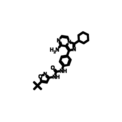 CC(C)(C)c1cc(NC(=O)Nc2ccc(-c3nc(C4CCCCC4)n4ccnc(N)c34)cc2)no1